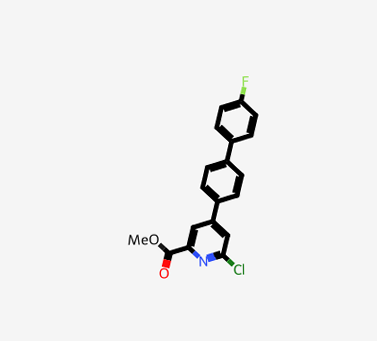 COC(=O)c1cc(-c2ccc(-c3ccc(F)cc3)cc2)cc(Cl)n1